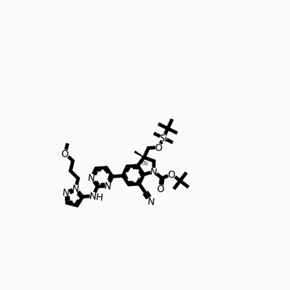 COCCCn1nccc1Nc1nccc(-c2cc(C#N)c3c(c2)[C@](C)(CO[Si](C)(C)C(C)(C)C)CN3C(=O)OC(C)(C)C)n1